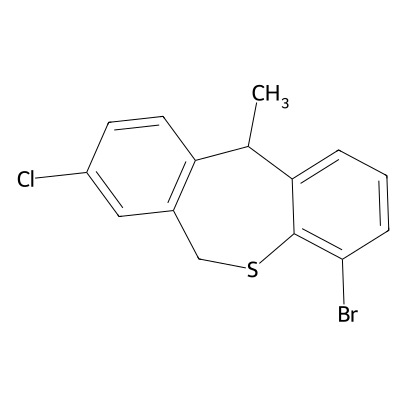 CC1c2ccc(Cl)cc2CSc2c(Br)cccc21